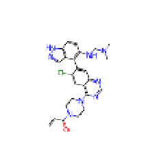 C=CC(=O)N1CCN(c2ncnc3cc(-c4c(NCN(C)C)ccc5[nH]ncc45)c(Cl)cc23)CC1